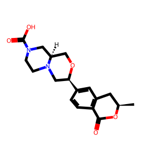 C[C@@H]1Cc2cc([C@H]3CN4CCN(C(=O)O)C[C@H]4CO3)ccc2C(=O)O1